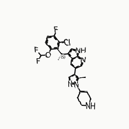 Cc1c(-c2cnc3[nH]cc([C@H](C)c4c(OC(F)F)ccc(F)c4Cl)c3c2)cnn1C1CCNCC1